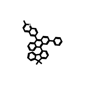 Cc1ccc2cc(-c3c4ccccc4c(-c4cccc5c4-c4ccccc4C5(C)C)c4cc(-c5ccccc5)ccc34)ccc2n1